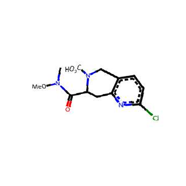 CON(C)C(=O)C1Cc2nc(Cl)ccc2CN1C(=O)O